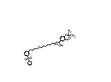 CC1(C)OCc2cc([C@@H](O)CNCCCCCCOCCCCc3cccc(S(=O)(=O)C4CC=CC4)c3)ccc2O1